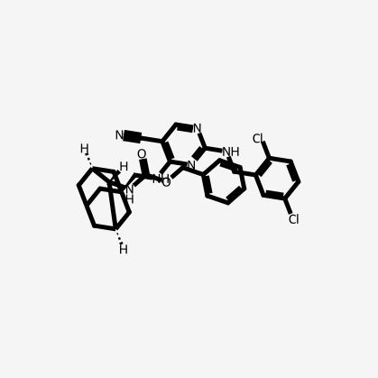 N#Cc1cnc(NCc2cc(Cl)ccc2Cl)nc1NC[C@]12CC3C[C@H](C1)[C@@H](NC(=O)OCc1ccccc1)[C@@H](C3)C2